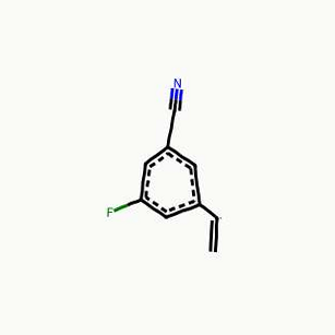 C=[C]c1cc(F)cc(C#N)c1